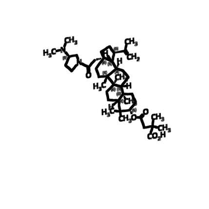 C=C(C)[C@@H]1CC[C@]2(CC(=O)N3CC[C@@H](N(C)C)C3)CC[C@]3(C)[C@H](CC[C@@H]4[C@@]5(C)CC[C@H](OC(=O)CC(C)(C)C(=O)O)C(C)(C)[C@@H]5CC[C@]43C)[C@@H]12